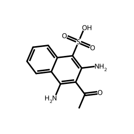 CC(=O)c1c(N)c(S(=O)(=O)O)c2ccccc2c1N